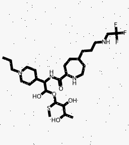 CCCN1CCC(C(NC(=O)C2CCC(CCCNCC(F)(F)F)CCN2)C(O)OC(SC)C(O)C(C)O)CC1